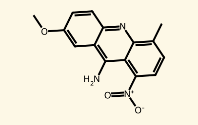 COc1ccc2nc3c(C)ccc([N+](=O)[O-])c3c(N)c2c1